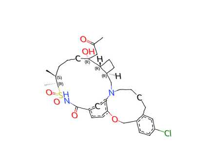 CC(=O)C[C@]1(O)CCC[C@H](C)[C@@H](C)S(=O)(=O)NC(=O)c2ccc3c(c2)N(CCCCc2cc(Cl)ccc2CO3)C[C@@H]2CC[C@H]21